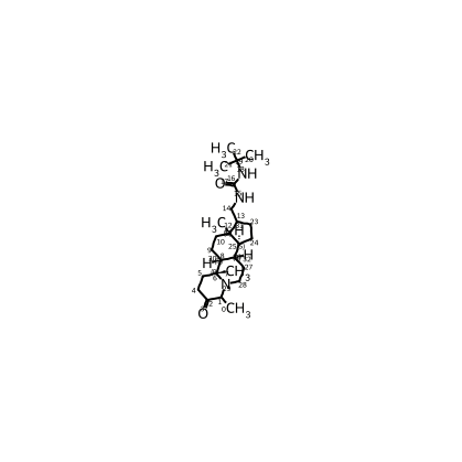 CC1C(=O)CC[C@]2(C)[C@@H]3CC[C@]4(C)C(CNC(=O)NC(C)(C)C)CC[C@H]4[C@@H]3CCN12